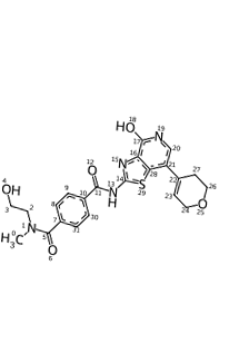 CN(CCO)C(=O)c1ccc(C(=O)Nc2nc3c(O)ncc(C4=CCOCC4)c3s2)cc1